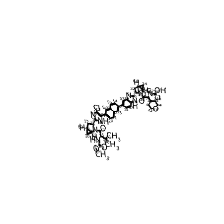 COC(=O)N[C@H](C(=O)N1[C@@H]2C[C@H]2C[C@H]1c1nc(Cl)c(-c2ccc3cc(-c4ccc5[nH]c([C@@H]6C[C@H]7C[C@H]7N6C(=O)[C@H](C6CCOCC6)N(C)C(=O)O)nc5c4)ccc3c2)[nH]1)C(C)C